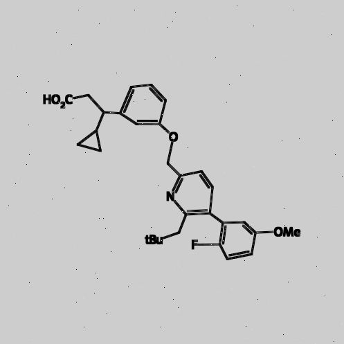 COc1ccc(F)c(-c2ccc(COc3cccc(C(CC(=O)O)C4CC4)c3)nc2CC(C)(C)C)c1